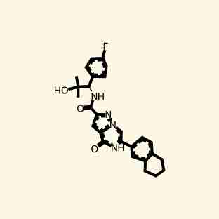 CC(C)(O)[C@@H](NC(=O)c1cc2c(=O)[nH]c(-c3ccc4c(c3)CCCC4)cn2n1)c1ccc(F)cc1